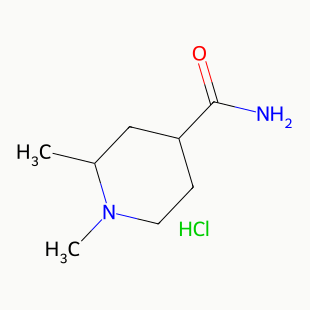 CC1CC(C(N)=O)CCN1C.Cl